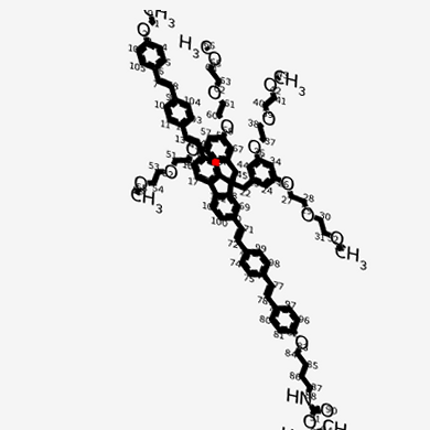 CCOc1ccc(/C=C/c2ccc(/C=C/c3ccc4c(c3)C(Cc3cc(OCCOCCOC)cc(OCCOCCOC)c3)(Cc3cc(OCCOCCOC)cc(OCCOCCOC)c3)c3cc(/C=C/c5ccc(/C=C/c6ccc(OCCCCNC(=O)OC(C)(C)C)cc6)cc5)ccc3-4)cc2)cc1